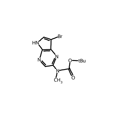 CN(C(=O)OC(C)(C)C)c1cnc2[nH]cc(Br)c2n1